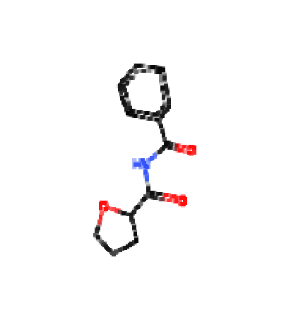 O=C(NC(=O)C1CCCO1)c1ccccc1